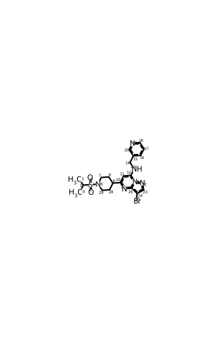 CC(C)S(=O)(=O)N1CCC(c2cc(NCc3cccnc3)n3ncc(Br)c3n2)CC1